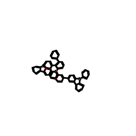 c1ccc(-c2ccccc2-c2c(-c3ccccc3)cccc2N(c2cccc(-c3ccc4c(c3)c3ccccc3n4-c3ccccc3)c2)c2ccc3c(c2)sc2ccccc23)cc1